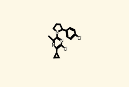 Cc1nc(C2CC2)c(Cl)nc1N1CCCC1c1ccc(Cl)cc1